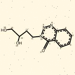 O=c1c2ccccc2nnn1CCC(O)CO